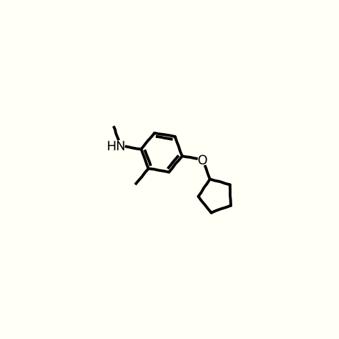 CNc1ccc(OC2CCCC2)cc1C